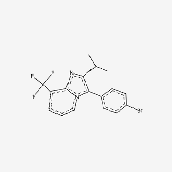 CC(C)c1nc2c(C(F)(F)F)cccn2c1-c1ccc(Br)cc1